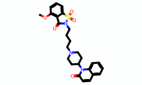 COc1cccc2c1C(=O)N(CCCCN1CCC(n3c(=O)ccc4ccccc43)CC1)S2(=O)=O